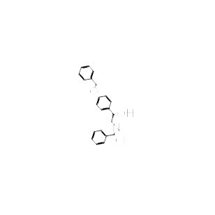 CC(NC[C@@H](O)c1ccc(OCc2ccccc2)cc1)c1ccccc1